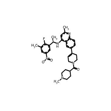 Cc1cc(N[C@H](C)c2cc([N+](=O)[O-])cc(C)c2F)c2cc(C3=CCN(C(=O)C4CCN(C)CC4)CC3)ccc2n1